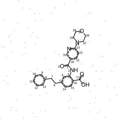 O=C(Nc1cc(CCc2ccccc2)ccc1C(=O)O)c1ccc(N2CCOCC2)nc1